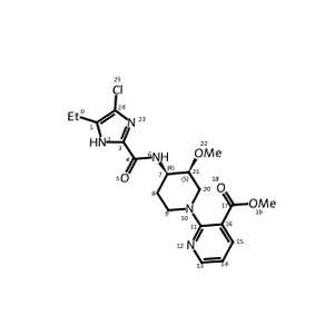 CCc1[nH]c(C(=O)N[C@@H]2CCN(c3ncccc3C(=O)OC)C[C@@H]2OC)nc1Cl